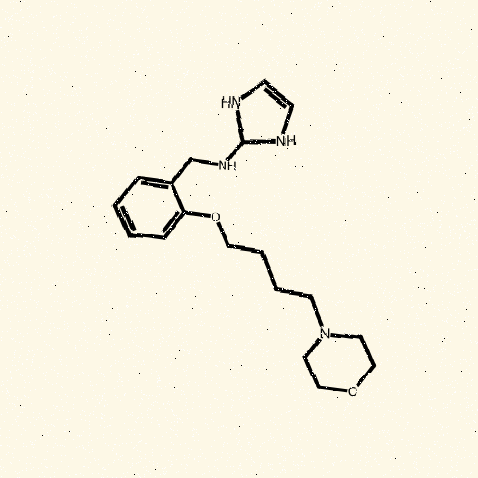 C1=CNC(NCc2ccccc2OCCCCN2CCOCC2)N1